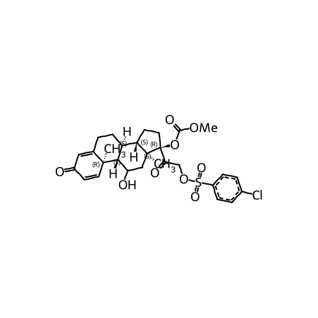 COC(=O)O[C@]1(C(=O)COS(=O)(=O)c2ccc(Cl)cc2)CC[C@H]2[C@@H]3CCC4=CC(=O)C=C[C@]4(C)[C@H]3C(O)C[C@@]21C